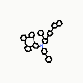 c1ccc(-c2ccc(N(c3ccc4c(c3)Cc3ccccc3-c3ccccc3Cc3ccccc3-4)c3ccc(-c4ccc(-c5ccc6ccccc6c5)cc4)c(-c4ccccc4)c3)cc2)cc1